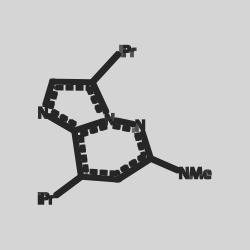 CNc1cc(C(C)C)c2ncc(C(C)C)n2n1